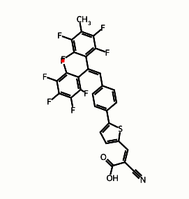 Cc1c(F)c(F)c(/C(=C/c2ccc(-c3ccc(/C=C(/C#N)C(=O)O)s3)cc2)c2c(F)c(F)c(F)c(F)c2F)c(F)c1F